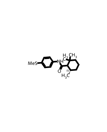 CSc1ccc(NC(=O)C2[C@@H](C)CCCC2(C)C)cc1